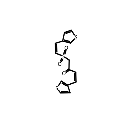 O=C(/C=C\c1ccsc1)CS(=O)(=O)/C=C\c1ccsc1